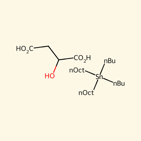 CCCCCCC[CH2][Sn]([CH2]CCC)([CH2]CCC)[CH2]CCCCCCC.O=C(O)CC(O)C(=O)O